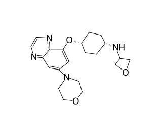 c1cnc2c(O[C@H]3CC[C@@H](NC4COC4)CC3)cc(N3CCOCC3)cc2n1